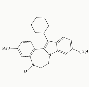 CCN1CCn2c(c(C3CCCCC3)c3ccc(C(=O)O)cc32)-c2ccc(OC)cc21